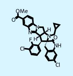 COC(=O)c1ccc2c(c1)nc1n2C[C@H]2[C@@H]1[C@H](c1cccc(Cl)c1F)[C@@]1(Cc3ccc(Cl)cc3NC1=O)N2CC1CC1